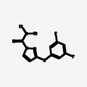 CCN(CC)C(=O)n1ccc(Sc2cc(F)cc(F)c2)n1